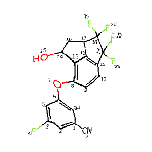 N#Cc1cc(F)cc(Oc2ccc3c4c2C(O)CC4C(F)(F)C3(F)F)c1